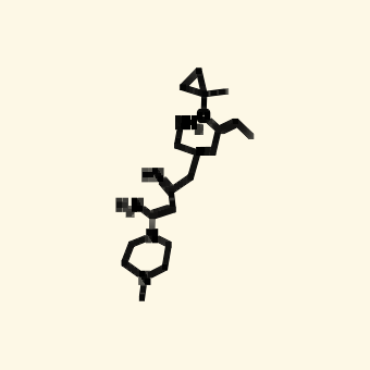 C/C=C(\C=C(/CN)CC(=N)/C=C(\N)N1CCN(C)CC1)OC1(C)CC1